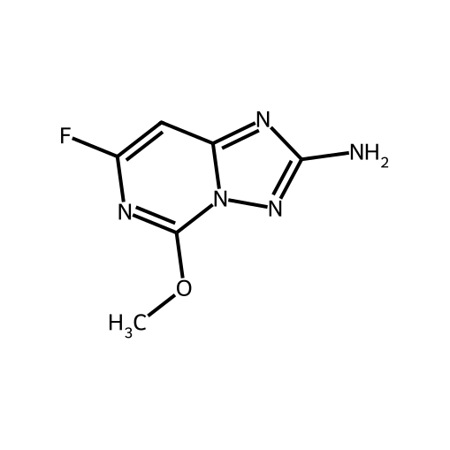 COc1nc(F)cc2nc(N)nn12